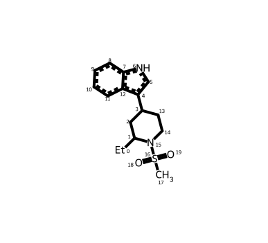 CCC1CC(c2c[nH]c3ccccc23)CCN1S(C)(=O)=O